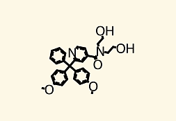 COc1ccc(C(c2ccccc2)(c2ccc(OC)cc2)c2cc(C(=O)N(CCO)CCO)ccn2)cc1